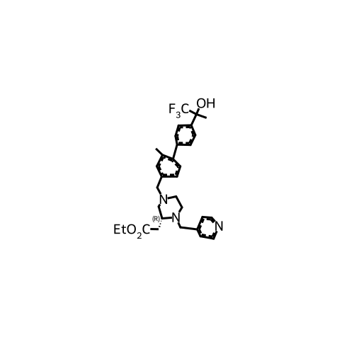 CCOC(=O)C[C@@H]1CN(Cc2ccc(-c3ccc(C(C)(O)C(F)(F)F)cc3)c(C)c2)CCN1Cc1ccncc1